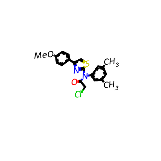 COc1ccc(-c2csc(N(C(=O)CCl)c3cc(C)cc(C)c3)n2)cc1